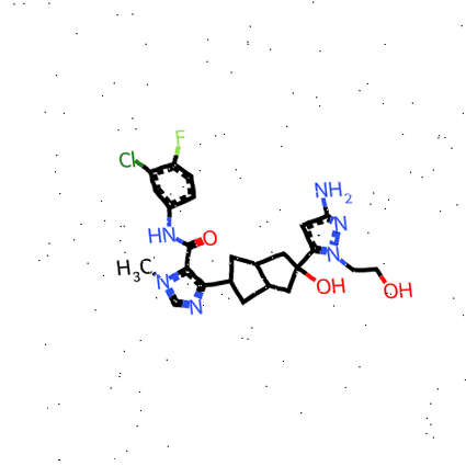 Cn1cnc(C2CC3CC(O)(c4cc(N)nn4CCO)CC3C2)c1C(=O)Nc1ccc(F)c(Cl)c1